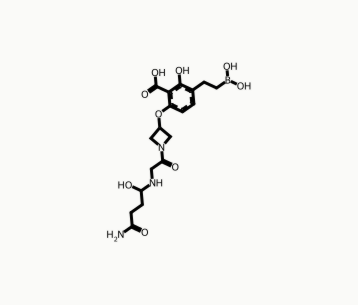 NC(=O)CCC(O)NCC(=O)N1CC(Oc2ccc(CCB(O)O)c(O)c2C(=O)O)C1